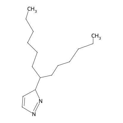 CCCCCCC(CCCCCC)C1C=CN=N1